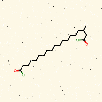 CC(CCCCCCCCCCCCCCCC(=O)Cl)CC(=O)Cl